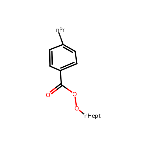 [CH2]CCCCCCOOC(=O)c1ccc(CCC)cc1